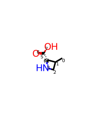 CC1CN[C@@H]1C(=O)O